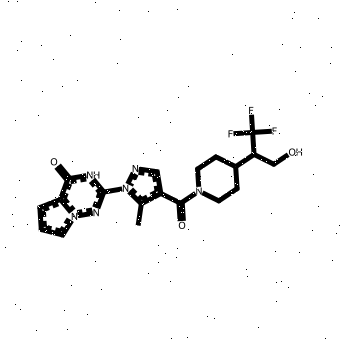 Cc1c(C(=O)N2CCC(C(CO)C(F)(F)F)CC2)cnn1-c1nn2cccc2c(=O)[nH]1